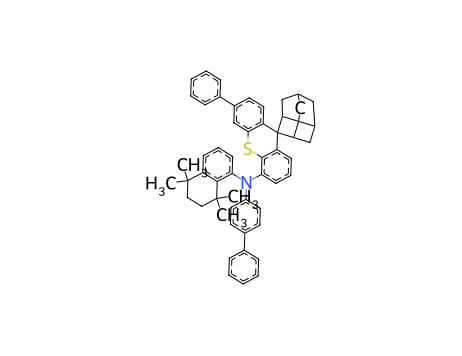 CC1(C)CCC(C)(C)c2c(N(c3ccc(-c4ccccc4)cc3)c3cccc4c3Sc3cc(-c5ccccc5)ccc3C43C4CC5CC6CC3C64C5)cccc21